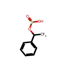 O=S(O)OC(c1ccccc1)C(F)(F)F